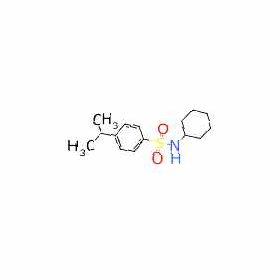 CC(C)c1ccc(S(=O)(=O)NC2CCCCC2)cc1